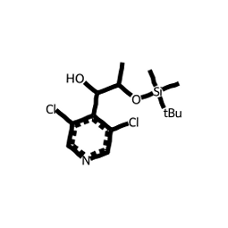 CC(O[Si](C)(C)C(C)(C)C)C(O)c1c(Cl)cncc1Cl